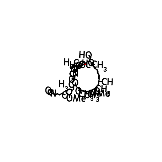 C#C[C@@H]1/C=C/C=C/C=C(\C)C(OCCO)C[C@@H]2CC[C@@H](C)[C@@](O)(O2)C(=O)C(=O)N2CCCCC2C(=O)O[C@H]([C@H](C)C[C@@H]2CC[C@@H](OCCCCN3CCOCC3)[C@H](OC)C2)CC(=O)[C@H](C)/C=C(\C)[C@@H](O)[C@@H](OC)C(=O)[C@H](C)C1